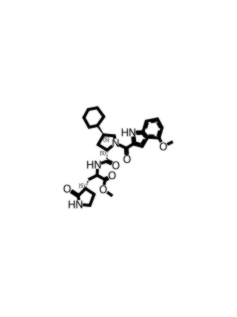 COC(=O)C(C[C@@H]1CCNC1=O)NC(=O)[C@@H]1C[C@@H](C2CCCCC2)CN1C(=O)c1cc2c(OC)cccc2[nH]1